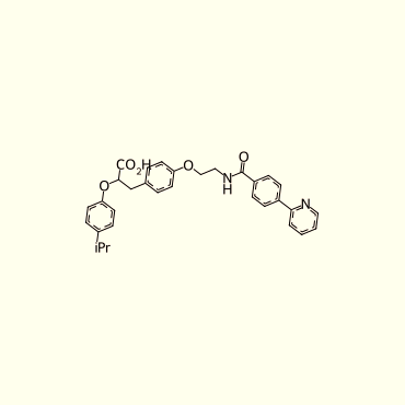 CC(C)c1ccc(OC(Cc2ccc(OCCNC(=O)c3ccc(-c4ccccn4)cc3)cc2)C(=O)O)cc1